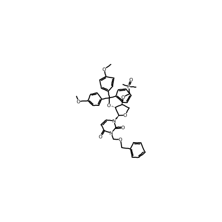 COc1ccc(C(O[C@@H]2[C@@H](OCP(C)(C)=O)CO[C@H]2n2ccc(=O)n(COCc3ccccc3)c2=O)(c2ccccc2)c2ccc(OC)cc2)cc1